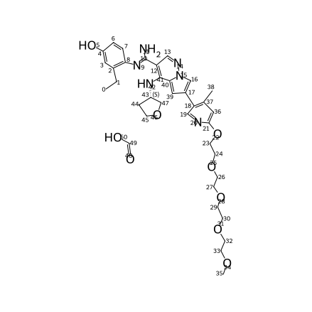 CCc1cc(O)ccc1N=C(N)c1cnn2cc(-c3cnc(OCCOCCOCCOCCOC)cc3C)cc2c1N[C@H]1CCOC1.O=CO